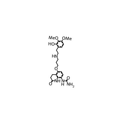 COc1ccc(CCNCCCOc2ccc(NC(N)=O)c3c2CCC(=O)N3)c(O)c1OC